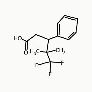 CC(C)(C(CC(=O)O)c1ccccc1)C(F)(F)F